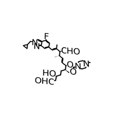 C/C(=C\c1cc(F)c2cn(CC3CC3)nc2c1)[C@@H](C=O)[C@@H](C)/C=C/[C@H](OC(=O)N1CCN(C)CC1)[C@@H](C)CC[C@@H](O)CC=O